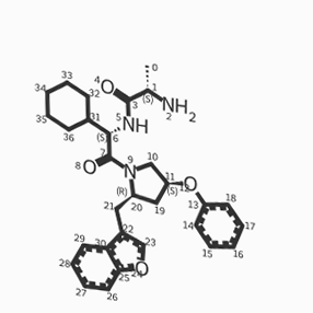 C[C@H](N)C(=O)N[C@H](C(=O)N1C[C@@H](Oc2ccccc2)C[C@H]1Cc1coc2ccccc12)C1CCCCC1